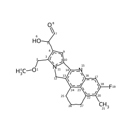 COCc1c(C(O)C=O)cc2n1Cc1c-2nc2cc(F)c(C)c3c2c1CCC3